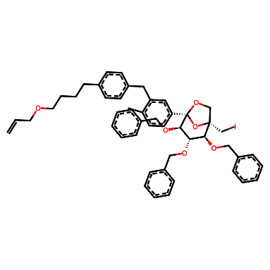 C=CCOCCCCc1ccc(Cc2cc([C@]34OC[C@](CI)(O3)[C@@H](OCc3ccccc3)[C@H](OCc3ccccc3)[C@H]4OCc3ccccc3)ccc2C)cc1